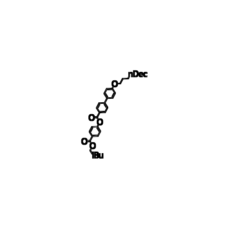 CCCCCCCCCCCCCOc1ccc(-c2ccc(C(=O)Oc3ccc(C(=O)OCC(C)CC)cc3)cc2)cc1